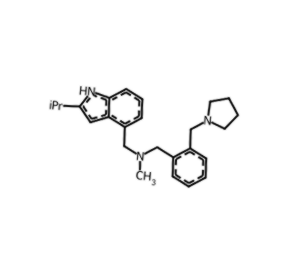 CC(C)c1cc2c(CN(C)Cc3ccccc3CN3CCCC3)cccc2[nH]1